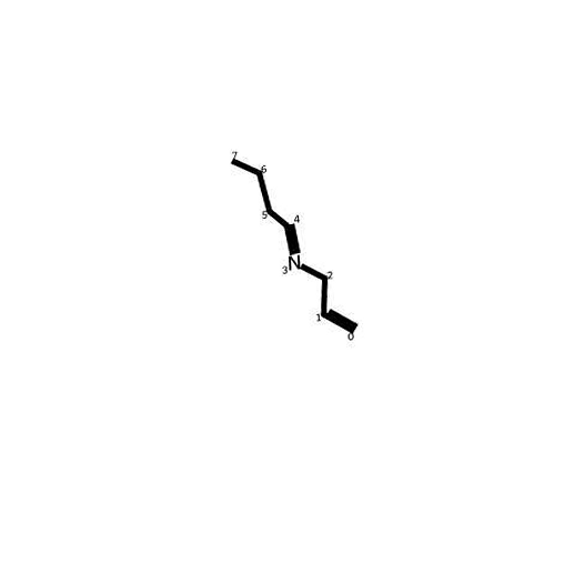 C=CCN=CCCC